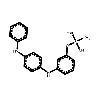 CC(C)(C)[Si](C)(C)Oc1cccc(Nc2ccc(Nc3ccccc3)cc2)c1